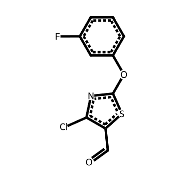 O=Cc1sc(Oc2cccc(F)c2)nc1Cl